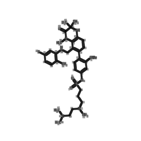 COc1cc(OS(=O)(=O)CCCN(C)CCN(C)C)ccc1-c1ccc2c(c1CNc1cc(F)ccc1C)N(C)C(=O)C(C)(C)N2